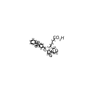 O=C(O)CCCC=CC[C@H]1[C@@H](OCc2ccc(S(=O)(=O)c3ccccc3)cc2)CC(=O)[C@@H]1N1CCOCC1